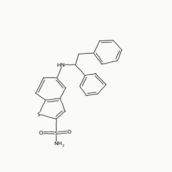 NS(=O)(=O)c1cc2cc(NC(Cc3ccccc3)c3ccccc3)ccc2s1